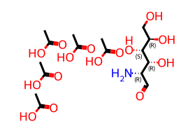 CC(=O)O.CC(=O)O.CC(=O)O.CC(=O)O.CC(=O)O.N[C@@H](C=O)[C@@H](O)[C@H](O)[C@H](O)CO